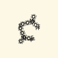 FC(F)(F)c1ccc(-c2nc(-c3ccccc3)nc(-c3ccc(-c4ccc5sc6ccc(-c7ccc(-c8nc(-c9ccccc9)nc(-c9ccc(C(F)(F)F)cc9)n8)cc7)cc6c5c4)cc3)n2)cc1